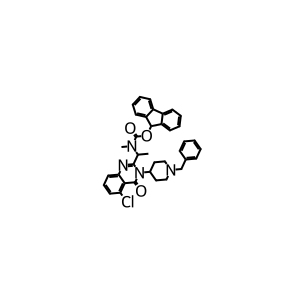 CC(c1nc2cccc(Cl)c2c(=O)n1C1CCN(Cc2ccccc2)CC1)N(C)C(=O)OC1c2ccccc2-c2ccccc21